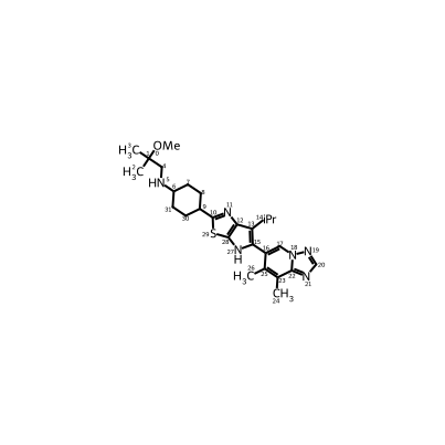 COC(C)(C)CNC1CCC(c2nc3c(C(C)C)c(-c4cn5ncnc5c(C)c4C)[nH]c3s2)CC1